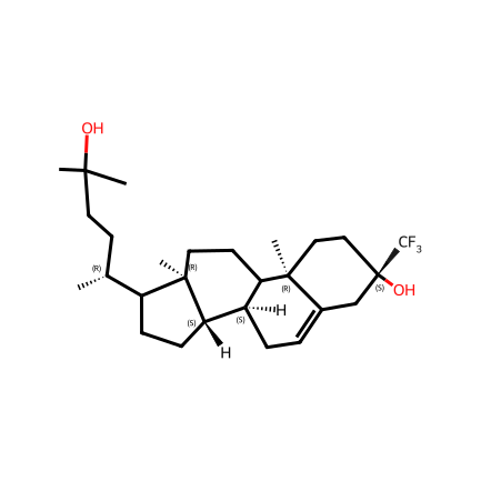 C[C@H](CCC(C)(C)O)C1CC[C@H]2[C@@H]3CC=C4C[C@](O)(C(F)(F)F)CC[C@]4(C)C3CC[C@]12C